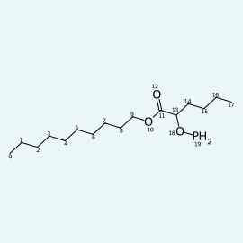 CCCCCCCCCCOC(=O)C(CCCC)OP